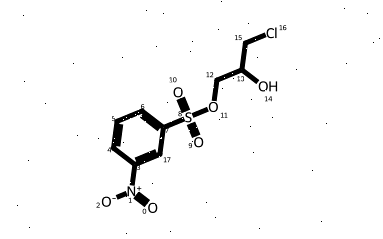 O=[N+]([O-])c1cccc(S(=O)(=O)OCC(O)CCl)c1